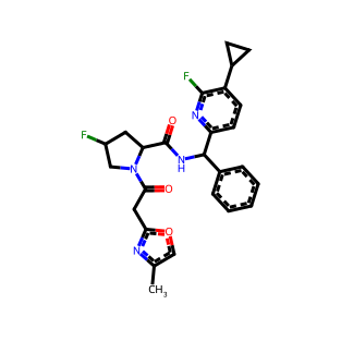 Cc1coc(CC(=O)N2CC(F)CC2C(=O)NC(c2ccccc2)c2ccc(C3CC3)c(F)n2)n1